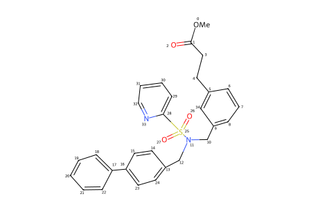 COC(=O)CCc1cccc(CN(Cc2ccc(-c3ccccc3)cc2)S(=O)(=O)c2ccccn2)c1